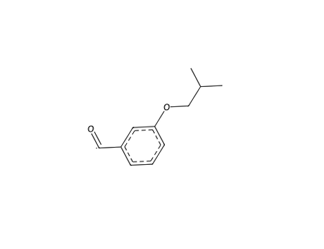 CC(C)COc1cccc([C]=O)c1